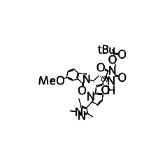 COc1ccc2c(c1)C(=O)N(CC[C@@]1(c3cc4nc(-c5c(C)nn(C)c5C)ccc4o3)NC(=O)N(COC(=O)C(C)(C)C)C1=O)C2